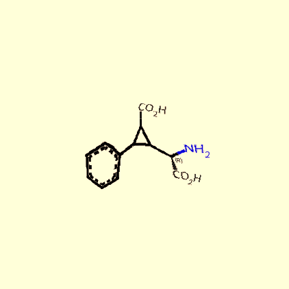 N[C@@H](C(=O)O)C1C(C(=O)O)C1c1ccccc1